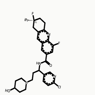 CC(C)[C@]1(F)CCc2nc3c(F)cc(C(=O)NC(CCN4CCC(O)CC4)c4ccc(Cl)nc4)cc3cc2C1